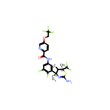 CC1[C@@](C)(C(F)F)SC(N)=N[C@]1(C)c1cc(NC(=O)c2ccc(OCC(F)(F)F)cn2)cc(F)c1F